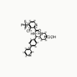 Cl.Cl.O=C(NC(c1ccc(-c2cccnc2)cc1)[C@@H]1CCCCN1)c1nccc(C(F)(F)F)c1Cl